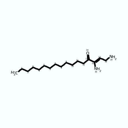 CCCCCCCCCCCCCC(=O)C(N)=CCN